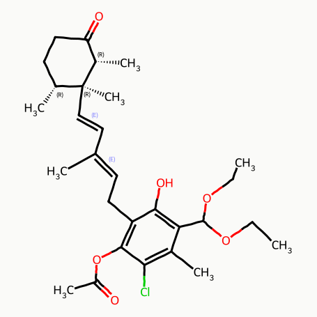 CCOC(OCC)c1c(C)c(Cl)c(OC(C)=O)c(C/C=C(C)/C=C/[C@@]2(C)[C@H](C)CCC(=O)[C@@H]2C)c1O